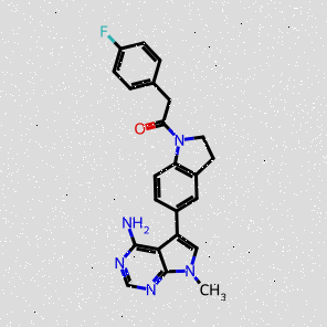 Cn1cc(-c2ccc3c(c2)CCN3C(=O)Cc2ccc(F)cc2)c2c(N)ncnc21